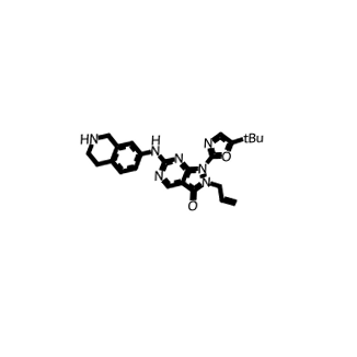 C=CCn1c(=O)c2cnc(Nc3ccc4c(c3)CNCC4)nc2n1-c1ncc(C(C)(C)C)o1